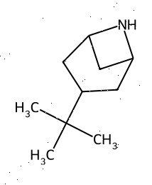 CC(C)(C)C1CC2CC(C1)N2